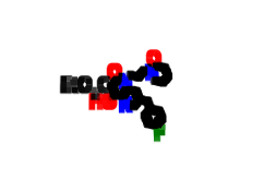 CCOC(=O)c1c(O)c2ncc(Cc3ccc(F)cc3)cc2n(CCCN2CCCCC2=O)c1=O